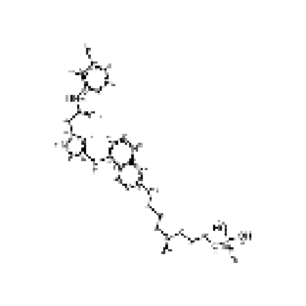 CCN(CCCOc1ccc2c(Nc3cnn(CC(=O)Nc4cccc(F)c4F)c3)ncnc2c1)CCCOP(=O)(O)O